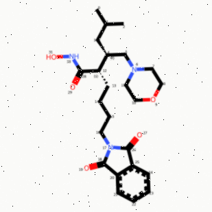 CC(C)C[C@@H](CN1CCOCC1)[C@H](CCCCN1C(=O)c2ccccc2C1=O)C(=O)NO